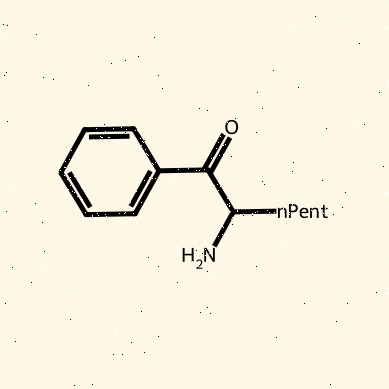 CCCCCC(N)C(=O)c1ccccc1